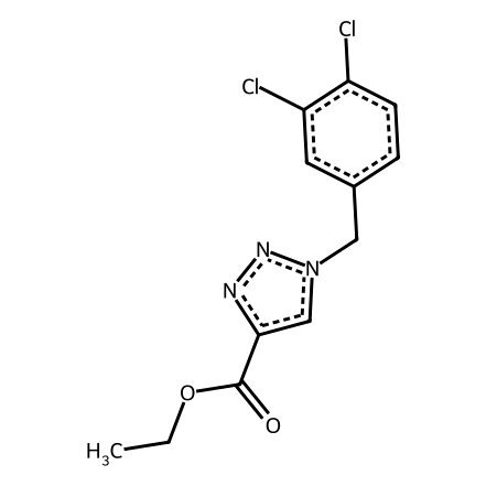 CCOC(=O)c1cn(Cc2ccc(Cl)c(Cl)c2)nn1